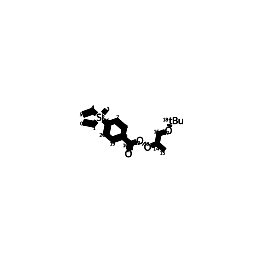 C=C[Si](C)(C=C)c1ccc(C(=O)OO[C](C)COC(C)(C)C)cc1